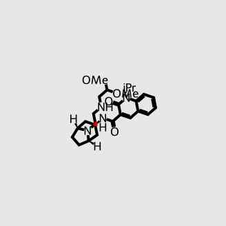 COC(CNCCN1[C@@H]2CC[C@H]1C[C@H](NC(=O)c1cc3ccccc3n(C(C)C)c1=O)C2)OC